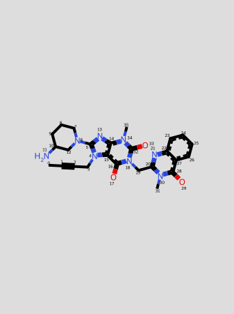 CC#CCn1c(N2CCCC(N)C2)nc2c1c(=O)n(Cc1nc3ccccc3c(=O)n1C)c(=O)n2C